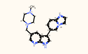 CN1CCN(Cc2cnc3[nH]cc(-c4ccc5nccn5c4)c3c2)CC1